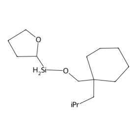 CC(C)CC1(CO[SiH2]C2CCCO2)CCCCC1